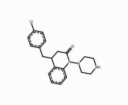 O=C1CC(Cc2ccc(Cl)cc2)c2ccccc2N1N1CCNCC1